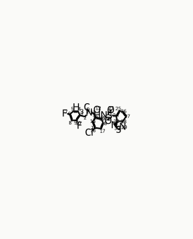 CN(Cc1ccc(F)cc1F)C(=O)c1cc(Cl)ccc1NS(=O)(=O)c1cccc2nsnc12